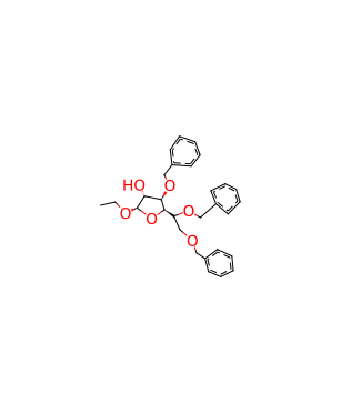 CCO[C@@H]1O[C@H](C(COCc2ccccc2)OCc2ccccc2)[C@H](OCc2ccccc2)[C@H]1O